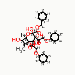 CC1C(O)[C@H]2O[C@](O)(C(=O)OCc3ccccc3)[C@@](O)(C(=O)COc3ccccc3)[C@](O)(C(=O)COc3ccccc3)[C@@]12O